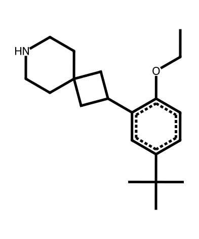 CCOc1ccc(C(C)(C)C)cc1C1CC2(CCNCC2)C1